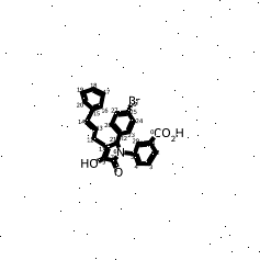 O=C(O)c1cccc(N2C(=O)C(O)=C(C/C=C/c3ccccc3)C2c2ccc(Br)cc2)c1